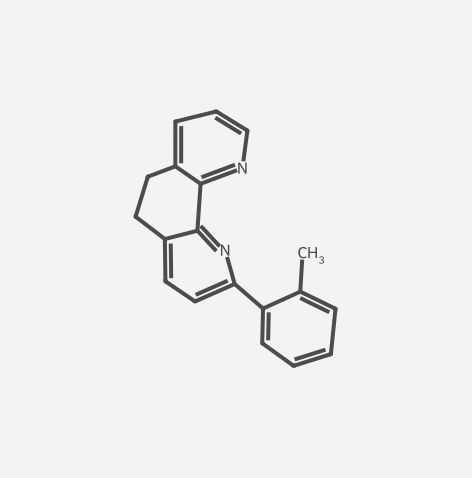 Cc1ccccc1-c1ccc2c(n1)-c1ncccc1CC2